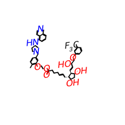 Cc1ccc(CN2CCC(Nc3cccc4cnccc34)C2)cc1OCCOC(=O)CCCC=CC[C@@H]1[C@@H](C=CC(O)COc2cccc(C(F)(F)F)c2)[C@H](O)C[C@@H]1O